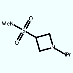 CNS(=O)(=O)C1CN(C(C)C)C1